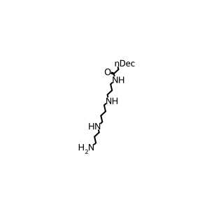 CCCCCCCCCCCC(=O)NCCCNCCCCNCCCN